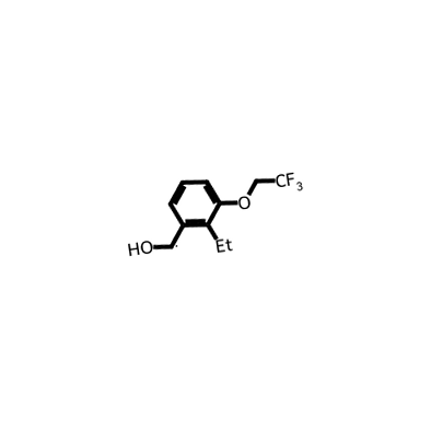 CCc1c([CH]O)cccc1OCC(F)(F)F